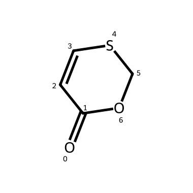 O=C1C=CSCO1